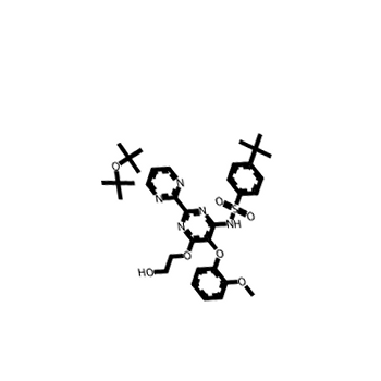 CC(C)(C)OC(C)(C)C.COc1ccccc1Oc1c(NS(=O)(=O)c2ccc(C(C)(C)C)cc2)nc(-c2ncccn2)nc1OCCO